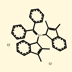 CC1=C(C)[CH]([Ti+2](=[C](c2ccccc2)c2ccccc2)[CH]2C(C)=C(C)c3ccccc32)c2ccccc21.[Cl-].[Cl-]